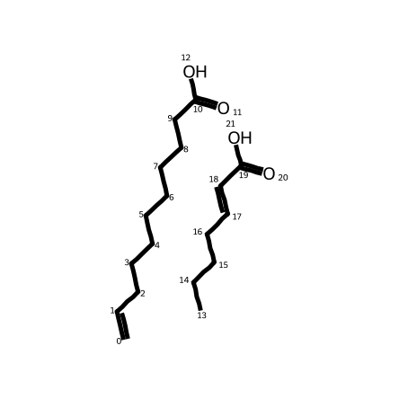 C=CCCCCCCCCC(=O)O.CCCCC=CC(=O)O